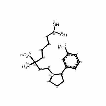 COc1cccc(C2CCCN2CCC(N)(CCCCB(O)O)C(=O)O)c1